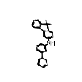 CC1(C)c2ccccc2-c2cc(Nc3cccc(C4C=CC=CC4)c3)ccc21